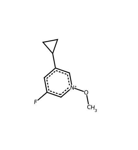 CO[n+]1cc(F)cc(C2CC2)c1